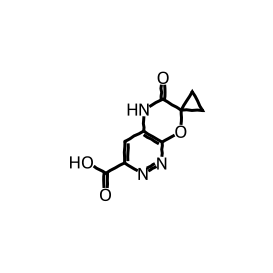 O=C(O)c1cc2c(nn1)OC1(CC1)C(=O)N2